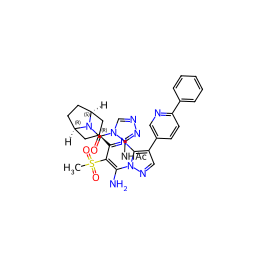 CC(=O)Nc1nncn1C(=O)N1[C@@H]2CC[C@H]1C[C@@H](c1nc3c(-c4ccc(-c5ccccc5)nc4)cnn3c(N)c1S(C)(=O)=O)C2